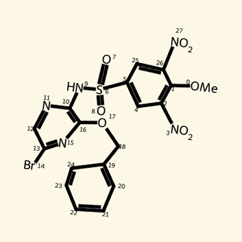 COc1c([N+](=O)[O-])cc(S(=O)(=O)Nc2ncc(Br)nc2OCc2ccccc2)cc1[N+](=O)[O-]